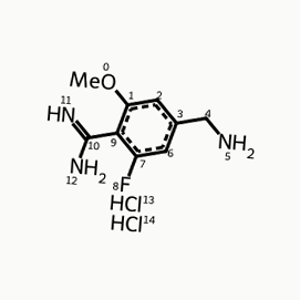 COc1cc(CN)cc(F)c1C(=N)N.Cl.Cl